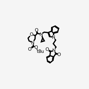 CC(C)(C)OC(=O)N1CCOC(C(=O)N(Cc2cn(CCCN3C(=O)c4ccccc4C3=O)c3ccccc23)C2CC2)C1